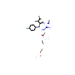 CCCOCCOCCNC(=O)C[C@H]1N=C(c2ccc(Cl)cc2)c2c(sc(C)c2C)-n2c(C)nnc21